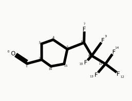 O=CC1CCC(C(F)C(F)(F)C(F)(F)F)CC1